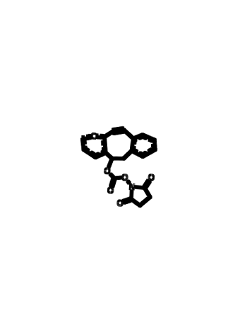 O=C(OC1Cc2ccccc2C#Cc2ccccc21)ON1C(=O)CCC1=O